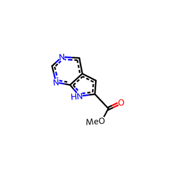 COC(=O)c1cc2cncnc2[nH]1